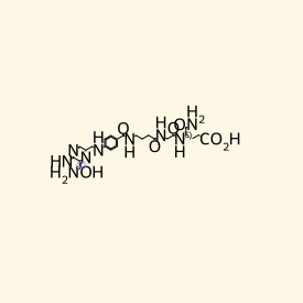 N=C1N=CC(CNc2ccc(C(=O)NCCCC(=O)NCC(=O)N[C@@H](CCC(=O)O)C(N)=O)cc2)=N/C1=C(/N)O